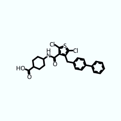 O=C(NC1CCC(C(=O)O)CC1)c1c(Cl)sc(Cl)c1Cc1ccc(-c2ccccc2)cc1